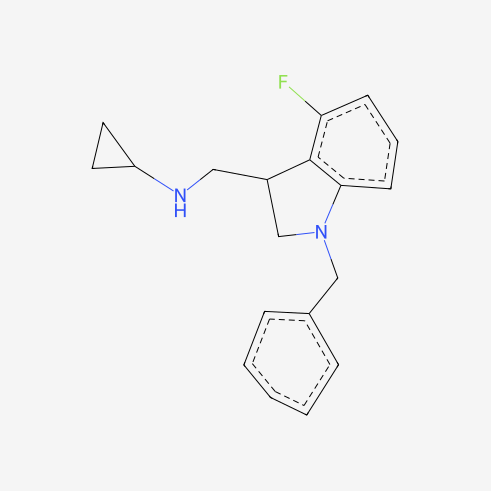 Fc1cccc2c1C(CNC1CC1)CN2Cc1ccccc1